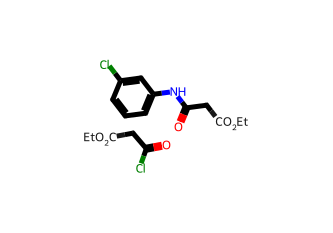 CCOC(=O)CC(=O)Cl.CCOC(=O)CC(=O)Nc1cccc(Cl)c1